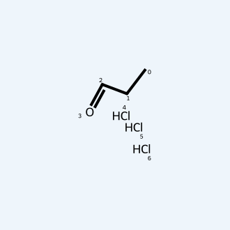 CCC=O.Cl.Cl.Cl